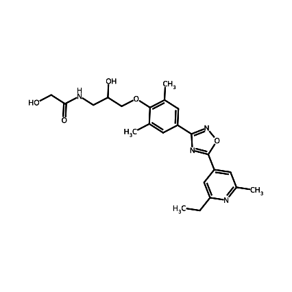 CCc1cc(-c2nc(-c3cc(C)c(OCC(O)CNC(=O)CO)c(C)c3)no2)cc(C)n1